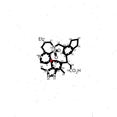 CC[C@H]1Cc2ncccc2S(=O)(=O)N(Cc2cc([C@@H](CC(=O)O)c3ccc4c(nnn4C)c3C)cc3c2CCC3)C1